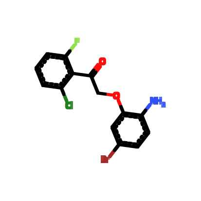 Nc1ccc(Br)cc1OCC(=O)c1c(F)cccc1Cl